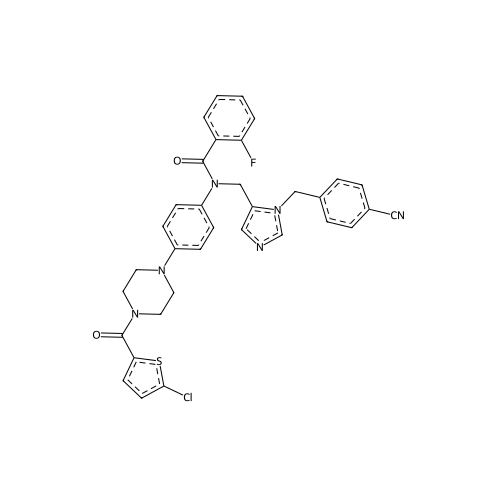 N#Cc1ccc(Cn2cncc2CN(C(=O)c2ccccc2F)c2ccc(N3CCN(C(=O)c4ccc(Cl)s4)CC3)cc2)cc1